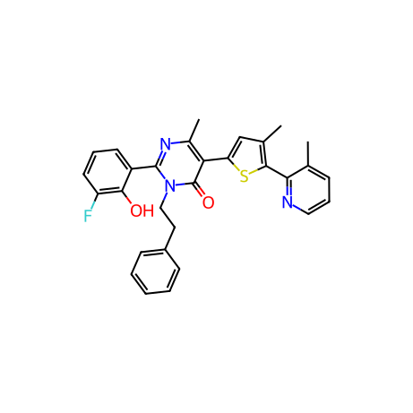 Cc1cccnc1-c1sc(-c2c(C)nc(-c3cccc(F)c3O)n(CCc3ccccc3)c2=O)cc1C